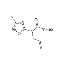 C=CCN(C(=O)CCCCCC)c1nc(C)no1